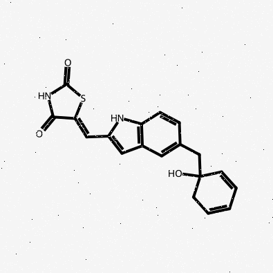 O=C1NC(=O)C(=Cc2cc3cc(CC4(O)C=CC=CC4)ccc3[nH]2)S1